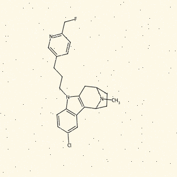 CN1C2CCC1c1c(n(CCCc3ccc(CF)nc3)c3ccc(Cl)cc13)C2